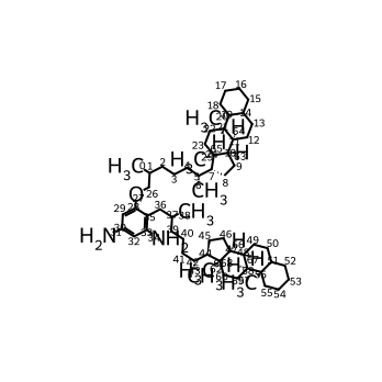 CC(CCC[C@@H](C)[C@H]1CC[C@H]2[C@@H]3CCC4CCCC[C@]4(C)[C@H]3CC[C@]12C)COc1cc(N)cc(N)c1CC(C)CCC[C@@H](C)[C@H]1CC[C@H]2[C@@H]3CCC4CCCC[C@]4(C)[C@H]3CC[C@]12C